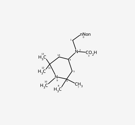 CCCCCCCCCCN(C(=O)O)C1CC(C)(C)N(C)C(C)(C)C1